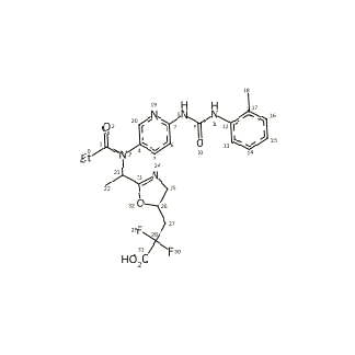 CCC(=O)N(c1ccc(NC(=O)Nc2ccccc2C)nc1)C(C)C1=NCC(CC(F)(F)C(=O)O)O1